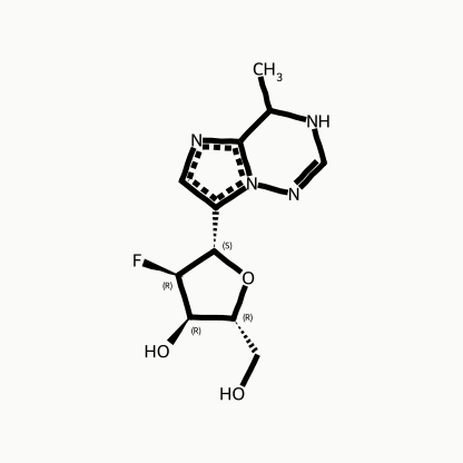 CC1NC=Nn2c([C@@H]3O[C@H](CO)[C@@H](O)[C@H]3F)cnc21